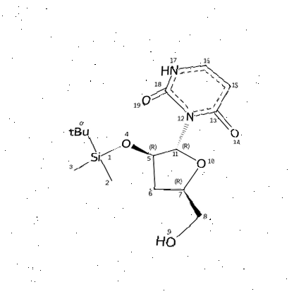 CC(C)(C)[Si](C)(C)O[C@@H]1[CH][C@H](CO)O[C@H]1n1c(=O)cc[nH]c1=O